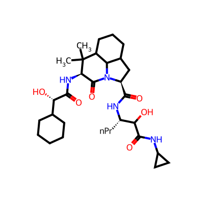 CCC[C@H](NC(=O)[C@@H]1CC2CCCC3C2N1C(=O)[C@@H](NC(=O)[C@@H](O)C1CCCCC1)C3(C)C)C(O)C(=O)NC1CC1